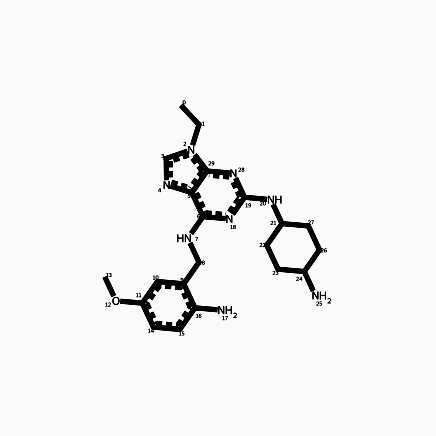 CCn1cnc2c(NCc3cc(OC)ccc3N)nc(NC3CCC(N)CC3)nc21